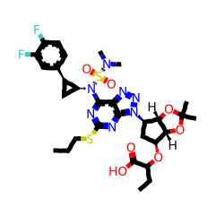 CCCSc1nc(N([C@@H]2C[C@H]2c2ccc(F)c(F)c2)S(=O)(=O)N(C)C)c2nnn([C@@H]3C[C@H](OC(CC)C(=O)O)[C@H]4OC(C)(C)O[C@H]43)c2n1